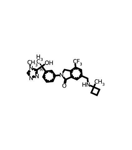 Cn1cnnc1[C@](C)(O)c1cccc(N2Cc3c(cc(CNC4(C)CCC4)cc3C(F)(F)F)C2=O)c1